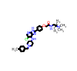 Cc1ccc(CN2CCC(Nc3c(Cl)cnc4[nH]c(-c5ccc(OCC(=O)NCC(C)(C)N(C)C)cc5)nc34)CC2)cc1